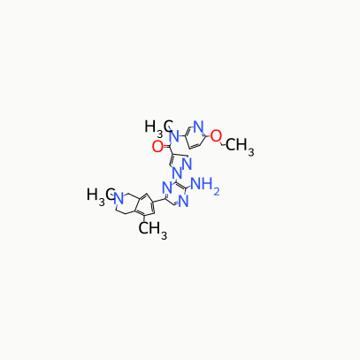 CCOc1ccc(N(C)C(=O)c2cnn(-c3nc(-c4cc(C)c5c(c4)CN(C)CC5)cnc3N)c2)cn1